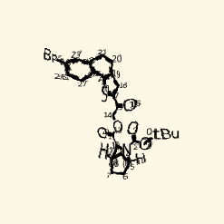 CC(C)(C)OC(=O)N1[C@@H]2CC[C@@H](C2)[C@H]1C(=O)OCC(=O)c1cc2ccc3cc(Br)ccc3c2s1